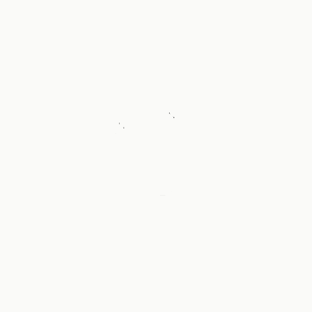 Cl.Nc1ncccc1F